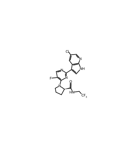 O=C(NCC(F)(F)F)[C@H]1CCCN1c1nc(-c2c[nH]c3ncc(Cl)cc23)ncc1F